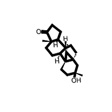 C[C@@H]1[C@]23CC[C@@H]4[C@H](CC[C@]5(C)C(=O)CC[C@@H]45)[C@]12CC[C@@](C)(O)C3